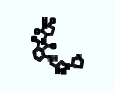 O=C1CCC(N2C(=O)c3cccc(NCc4cn(-c5cccnc5)nn4)c3C2=O)C(=O)N1